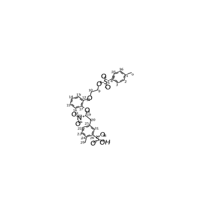 Cc1ccc(S(=O)(=O)OCCOc2ccccc2OC(Cc2ccc(C)c(S(=O)(=O)O)c2)[N+](=O)[O-])cc1